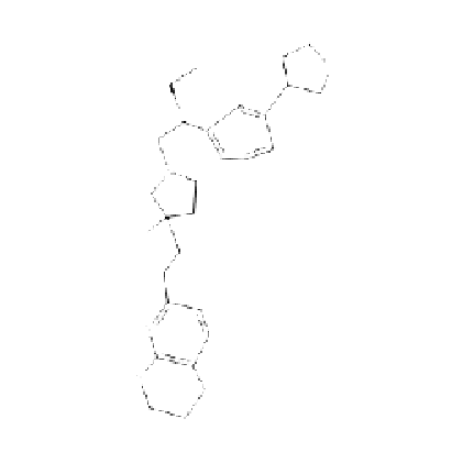 O=C(O)C[C@H](CN1CCC(F)(CCc2ccc3c(n2)NCCC3)C1)c1cccc(C2CCOC2)c1